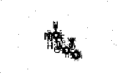 CN(Cc1c(F)cc(C#N)c2cn[nH]c12)C(=O)c1ccc(-c2ccccc2)c(OC2CC2)c1